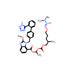 CCOc1nc2cccc(C(=O)OC(C)OC(=O)OCC(C)CCCO/N=[N+](\[O-])N(C)C(C)(C)C)c2n1Cc1ccc(-c2ccccc2-c2nnn[nH]2)cc1